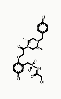 C[C@@H]1CN(Cc2ccc(Cl)cc2)[C@@H](C)CN1C(=O)COc1ccc(Cl)cc1CS(=O)(=O)NC(=O)CO